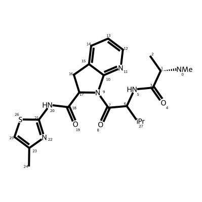 CN[C@@H](C)C(=O)NC(C(=O)N1c2ncccc2CC1C(=O)Nc1nc(C)cs1)C(C)C